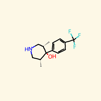 C[C@@H]1CNC[C@H](C)[C@]1(O)c1ccc(C(F)(F)F)cc1